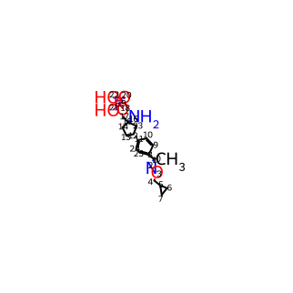 C/C(=N\OCC1CC1)c1ccc([C@@H]2CC[C@](N)(COP(=O)(O)O)C2)cc1